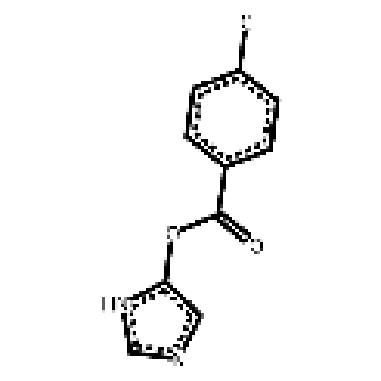 O=C(Oc1cnc[nH]1)c1ccc(Cl)cc1